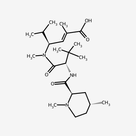 C/C(=C\[C@H](C(C)C)N(C)C(=O)[C@@H](NC(=O)[C@H]1C[C@H](C)CCN1C)C(C)(C)C)C(=O)O